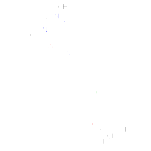 Cc1c(NC(=O)c2nn(C)c(=O)n(C)c2=O)cccc1-c1cccc(B2OC(C)(C)C(C)(C)O2)c1Cl